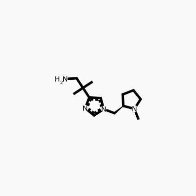 CN1CCC[C@@H]1Cn1cnc(C(C)(C)CN)c1